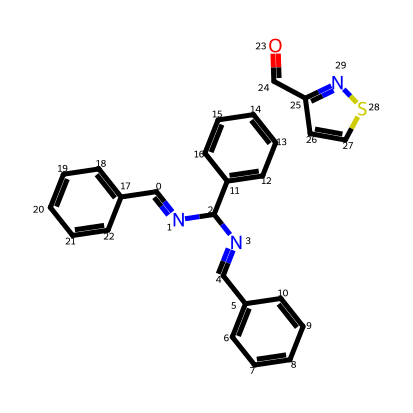 C(=NC(N=Cc1ccccc1)c1ccccc1)c1ccccc1.O=Cc1ccsn1